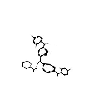 CCCCCC(c1ccc(C(CCC(CC)C2CCCCC2)c2ccc(C(CCCCC)c3ccc(N)cc3C)cc2)cc1)c1ccc(N)cc1C